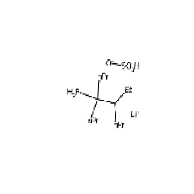 CCCC(CC)C(P)(CCC)CCC.O=S(=O)([O-])O.[Li+]